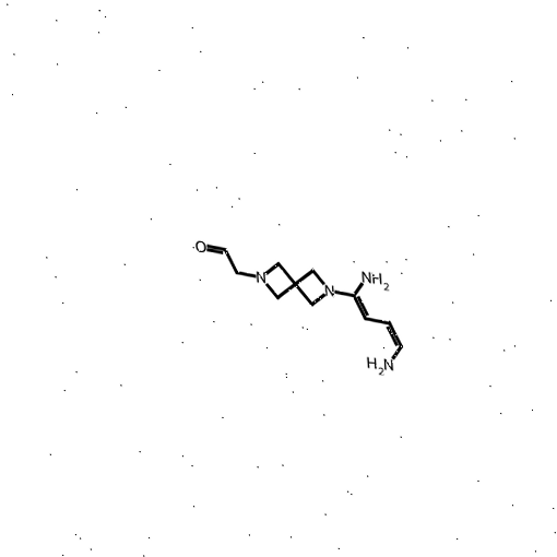 N/C=C\C=C(/N)N1CC2(CN(CC=O)C2)C1